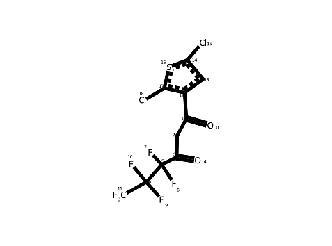 O=C(CC(=O)C(F)(F)C(F)(F)C(F)(F)F)c1cc(Cl)sc1Cl